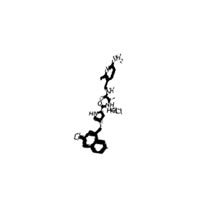 Cc1nc(N)ccc1CNC(=O)[C@H](C)NC(=O)[C@H]1C[C@H](Cc2cc(Cl)cc3ccccc23)CN1.Cl.Cl